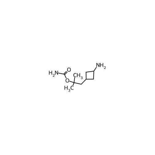 CC(C)(CC1CC(N)C1)OC(N)=O